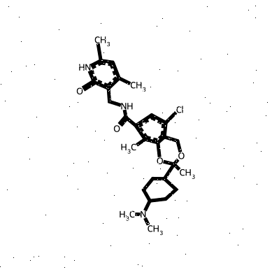 Cc1cc(C)c(CNC(=O)c2cc(Cl)c3c(c2C)OC(C)(C2CCC(N(C)C)CC2)OC3)c(=O)[nH]1